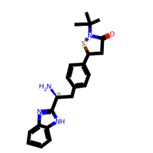 CC(C)(C)N1SC(c2ccc(C[C@H](N)c3nc4ccccc4[nH]3)cc2)CC1=O